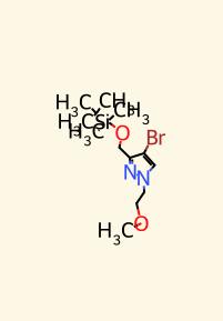 COCCn1cc(Br)c(CO[Si](C)(C)C(C)(C)C)n1